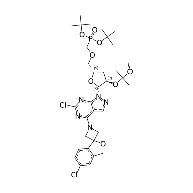 COC(C)(C)O[C@@H]1C[C@@H](COCP(=O)(OC(C)(C)C)OC(C)(C)C)O[C@H]1n1ncc2c(N3CC4(C3)OCc3cc(Cl)ccc34)nc(Cl)nc21